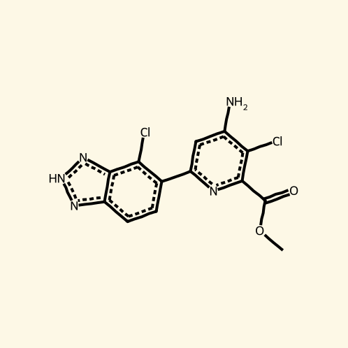 COC(=O)c1nc(-c2ccc3n[nH]nc3c2Cl)cc(N)c1Cl